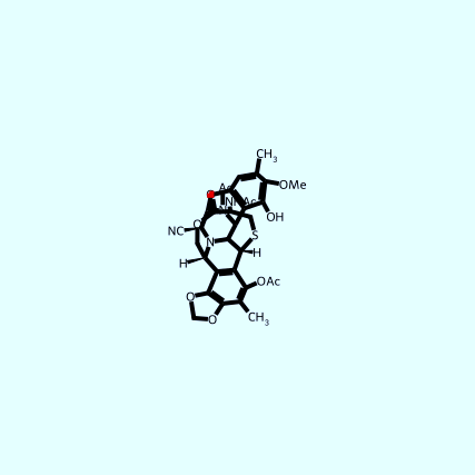 COc1c(C)cc2c(c1O)C1C3[C@@H]4SCC(NC(C)=O)C(=O)OC[C@@H](c5c6c(c(C)c(OC(C)=O)c54)OCO6)N3[C@@H](C#N)C(C2)N1C(C)=O